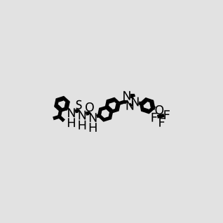 CC(C)c1ccccc1NC(=S)NC(=O)NC1CCc2cc(-c3ncn(-c4ccc(OC(F)(F)F)cc4)n3)ccc2C1